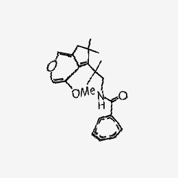 COC1=COC=C2CC(C)(C)C(C(C)(C)CNC(=O)c3ccccc3)=C21